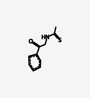 CC(=S)NCC(=O)c1ccccc1